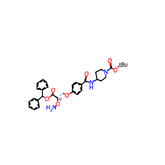 CC(C)(C)OC(=O)N1CCC(NC(=O)c2ccc(OC[C@H](ON)C(=O)OC(c3ccccc3)c3ccccc3)cc2)CC1